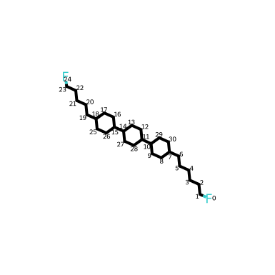 FCCCCCCC1CCC(C2CCC(C3CCC(CCCCCF)CC3)CC2)CC1